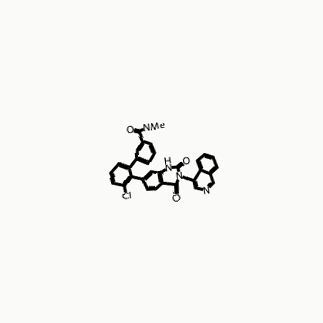 CNC(=O)c1cccc(-c2cccc(Cl)c2-c2ccc3c(=O)n(-c4cncc5ccccc45)c(=O)[nH]c3c2)c1